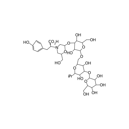 CC(C)C1OC(COC2OC(CO)C(O)C(OC3CN([C@@H](Cc4ccc(O)cc4)C(=O)O)CC(CO)O3)C2O)C(O)C(OC2OC(CO)C(O)C(O)C2O)C1O